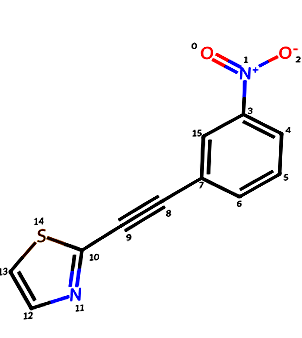 O=[N+]([O-])c1cccc(C#Cc2nccs2)c1